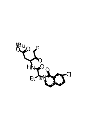 CC[C@@H](C(=O)NC(CC(=O)OC(C)(C)C)C(=O)CF)n1ccc2ccc(Cl)cc2c1=O